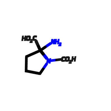 NC1(C(=O)O)CCCN1C(=O)O